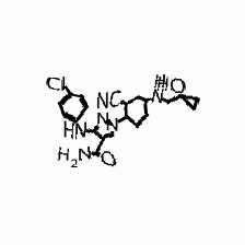 N#CC1CC(NCC2(O)CC2)CCC1n1cc(C(N)=O)c(Nc2ccc(Cl)cc2)n1